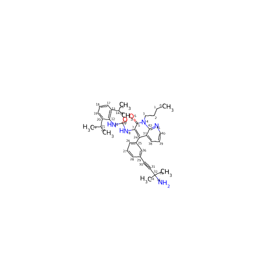 CCCCn1c(=O)c(NC(=O)Nc2c(C(C)C)cccc2C(C)C)c(-c2cccc(C#CC(C)(C)N)c2)c2cccnc21